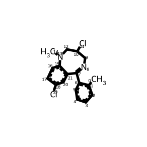 Cc1ccccc1C1=NCC(Cl)CN(C)c2ccc(Cl)cc21